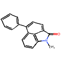 CN1C(=O)c2ccc(-c3ccccc3)c3cccc1c23